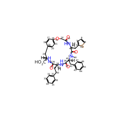 CN1C(=O)[C@H](Cc2cccs2)NC(=O)COc2ccc(cc2)C[C@@H](C(=O)O)NC(=O)[C@H](CCc2ccccc2)NC(=O)[C@H]1Cc1ccccc1